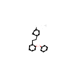 O=C(O)c1ccc(CCc2ccccc2Oc2ccccc2)cc1